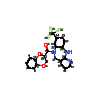 O=C([C@H]1COc2ccccc2O1)N1Cc2cccnc2Nc2ccc(C(F)(F)F)cc21